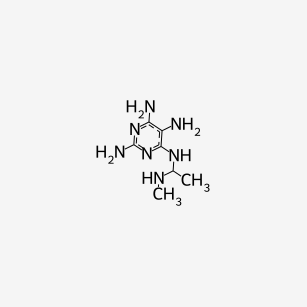 CNC(C)Nc1nc(N)nc(N)c1N